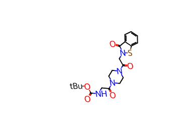 CC(C)(C)OC(=O)NCC(=O)N1CCN(C(=O)Cn2sc3ccccc3c2=O)CC1